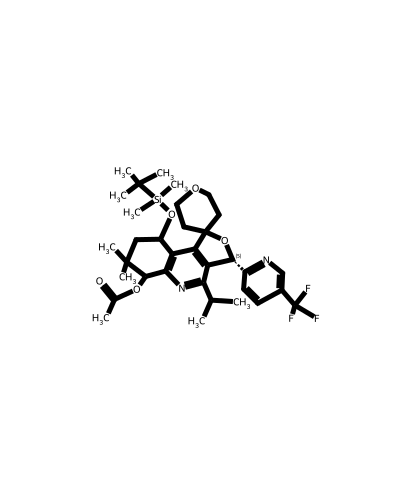 CC(=O)OC1c2nc(C(C)C)c3c(c2C(O[Si](C)(C)C(C)(C)C)CC1(C)C)C1(CCOCC1)O[C@@H]3c1ccc(C(F)(F)F)cn1